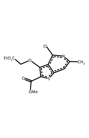 CCOC(=O)COc1c(C(=O)OC)sc2cc(C)nc(Cl)c12